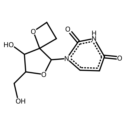 O=c1ccn(C2OC(CO)C(O)C23CCO3)c(=O)[nH]1